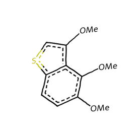 COc1ccc2scc(OC)c2c1OC